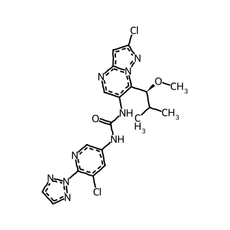 CO[C@H](c1c(NC(=O)Nc2cnc(-n3nccn3)c(Cl)c2)cnc2cc(Cl)nn12)C(C)C